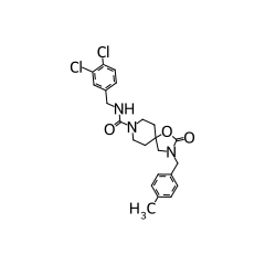 Cc1ccc(CN2CC3(CCN(C(=O)NCc4ccc(Cl)c(Cl)c4)CC3)OC2=O)cc1